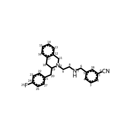 N#Cc1cccc(CNCCN2Cc3ccccc3CC2Cc2ccc(F)cc2)c1